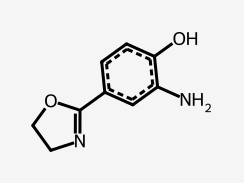 Nc1cc(C2=NCCO2)ccc1O